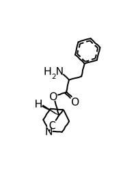 NC(Cc1ccccc1)C(=O)O[C@H]1CN2CCC1CC2